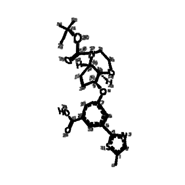 Cc1cnc(-c2cc(O[C@H]3CC[C@H]4[C@H]3OCCN4C(=O)OC(C)(C)C)cc(C(=O)O)c2)s1